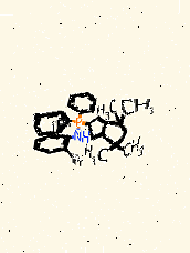 CC(C)c1cccc(C(C)C)c1NP(=C1C=C2C(C1)C(C)(C)CC2(C)C)(c1ccccc1)c1ccccc1